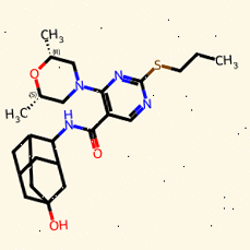 CCCSc1ncc(C(=O)NC2C3CC4CC2CC(O)(C4)C3)c(N2C[C@@H](C)O[C@@H](C)C2)n1